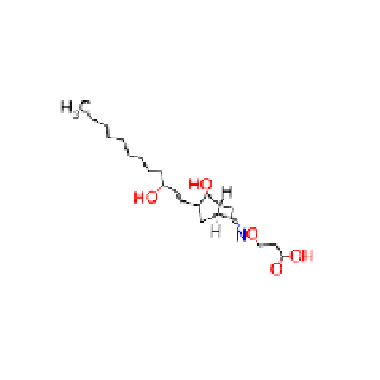 CCCCCCCCCC(O)C=CC1C[C@@H]2C(=NOCCC(=O)O)C[C@H]2C1O